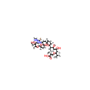 CCNC(=S)N[C@@H]1C=C[C@]2(O[C@H](C(CC)C(=O)[C@@H](C)[C@@H](O)[C@H](C)[C@@H]3O[C@@H]([C@@H](CC)C(=O)O)CC[C@@H]3C)[C@@H](C)C[C@H]2C)O[C@@]12CC[C@@](C)([C@H]1CC[C@](O)(CC)[C@H](C)O1)O2